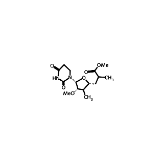 COC(=O)C(C)C[C@H]1O[C@@H](N2CCC(=O)NC2=O)[C@@H](OC)C1C